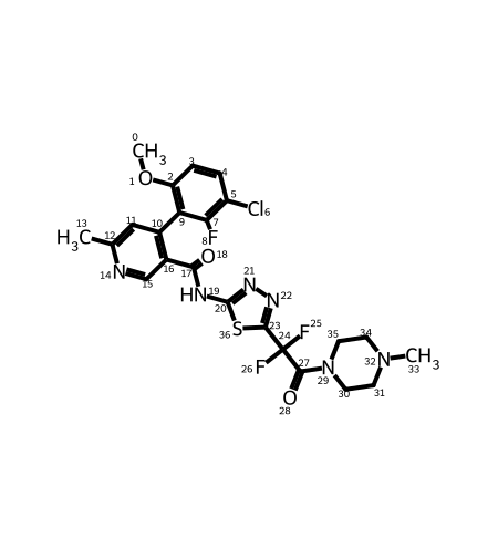 COc1ccc(Cl)c(F)c1-c1cc(C)ncc1C(=O)Nc1nnc(C(F)(F)C(=O)N2CCN(C)CC2)s1